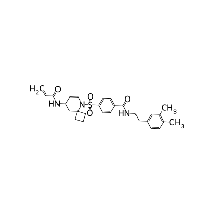 C=CC(=O)NC1CCN(S(=O)(=O)c2ccc(C(=O)NCCc3ccc(C)c(C)c3)cc2)C2(CCC2)C1